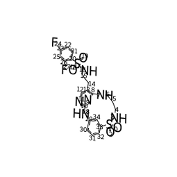 O=S1(=O)NCCCNc2nc(ncc2CCNS(=O)(=O)c2ccc(F)cc2F)Nc2cccc1c2